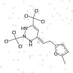 Cc1ccc(C/C=C2\C=C(C(Cl)(Cl)Cl)NN(C(Cl)(Cl)Cl)N2)o1